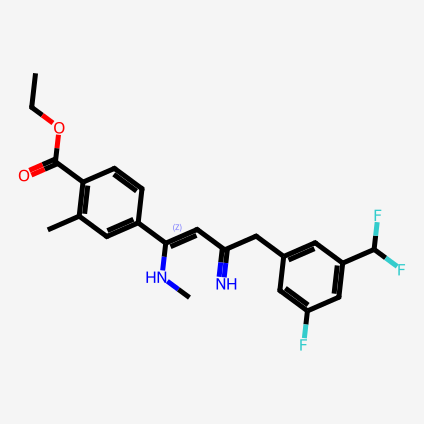 CCOC(=O)c1ccc(/C(=C/C(=N)Cc2cc(F)cc(C(F)F)c2)NC)cc1C